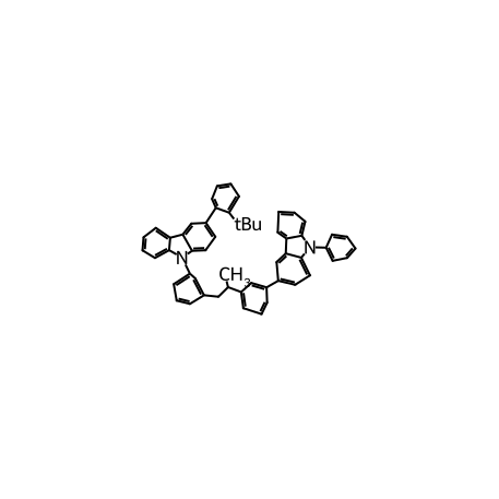 CC(Cc1cccc(-n2c3ccccc3c3cc(-c4ccccc4C(C)(C)C)ccc32)c1)c1cccc(-c2ccc3c(c2)c2ccccc2n3-c2ccccc2)c1